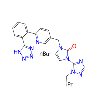 CCCCc1cn(-c2ncnn2CC(C)C)c(=O)n1Cc1ccc(-c2ccccc2-c2nnn[nH]2)nc1